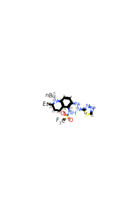 CCCCN1c2ccc(N=Nc3nncs3)c(NS(=O)(=O)C(F)(F)F)c2CCC1CC